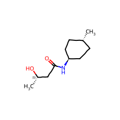 C[C@H](O)CC(=O)N[C@H]1CC[C@H](C)CC1